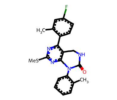 CSc1nc(-c2ccc(F)cc2C)c2c(n1)N(c1ccccc1C)C(=O)NC2